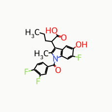 CCCC(C(=O)O)c1c(C)n(C(=O)c2ccc(F)c(F)c2)c2cc(F)c(O)cc12